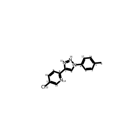 Cc1ccc(-n2cc(-c3ccc(Cl)cn3)nn2)cc1